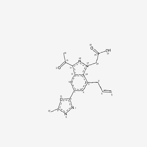 C=CCc1cc(-c2nnc(C)o2)cc2c(C(C)=O)nn(CC(=O)O)c12